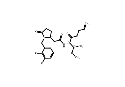 C=CCOC(=O)[C@@H](NC(=O)C[C@@H]1CCC(=O)N1Cc1cccc(F)c1F)[C@@H](C)OC